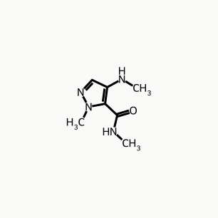 CNC(=O)c1c(NC)cnn1C